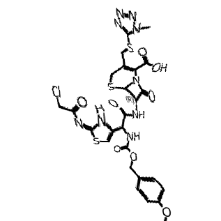 COc1ccc(COC(=O)NC(C(=O)N[C@@H]2C(=O)N3C(C(=O)O)=C(CSc4nnnn4C)CSC23)c2csc(=NC(=O)CCl)[nH]2)cc1